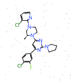 C[C@H]1CN(c2ncccc2Cl)CCN1c1cc(-c2ccc(Cl)c(F)c2)nc(N2CCCC2)n1